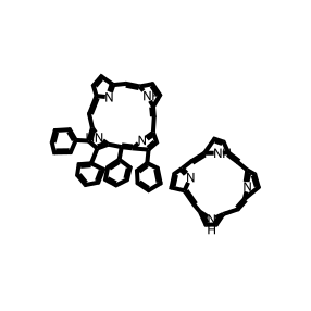 C1=Cc2cc3[nH]c(c(-c4ccccc4)c4nc(cc5ccc(cc1n2)[nH]5)C=C4c1ccccc1)c(-c1ccccc1)c3-c1ccccc1.C1=Cc2cc3ccc(cc4nc(cc5ccc(cc1n2)[nH]5)C=C4)[nH]3